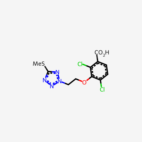 CSc1nnn(CCOc2c(Cl)ccc(C(=O)O)c2Cl)n1